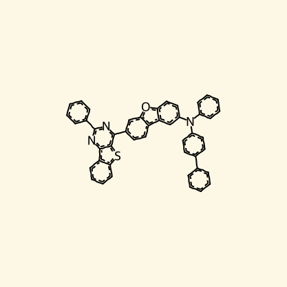 c1ccc(-c2ccc(N(c3ccccc3)c3ccc4oc5cc(-c6nc(-c7ccccc7)nc7c6sc6ccccc67)ccc5c4c3)cc2)cc1